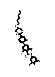 CCCCCCOC1COC(c2ccc(-c3cc(F)c(C(=O)Oc4cc(F)c(Cl)c(F)c4)c(F)c3)c(F)c2)OC1